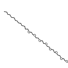 CCCCCCCCCCCCCCOCCOCCOCCOCCOCCOCCOCCO